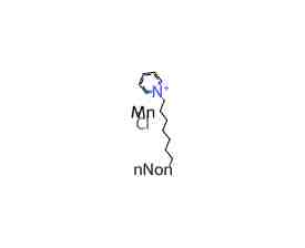 CCCCCCCCCCCCCCCC[n+]1ccccc1.[Cl][Mn]